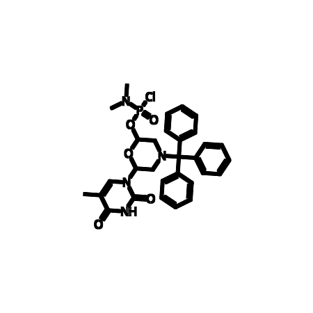 Cc1cn(C2CN(C(c3ccccc3)(c3ccccc3)c3ccccc3)CC(OP(=O)(Cl)N(C)C)O2)c(=O)[nH]c1=O